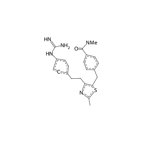 CNC(=O)c1ccc(Cc2sc(C)nc2CCc2ccc(NC(=N)N)cc2)cc1